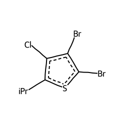 CC(C)c1sc(Br)c(Br)c1Cl